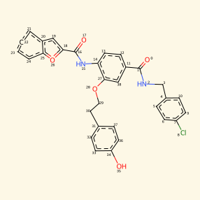 O=C(NCc1ccc(Cl)cc1)c1ccc(NC(=O)c2cc3ccccc3o2)c(OCCc2ccc(O)cc2)c1